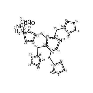 NC=O.NC=O.c1csc(Cc2cnc(Cc3cccs3)c(Cc3cccs3)c2Cc2cccs2)c1